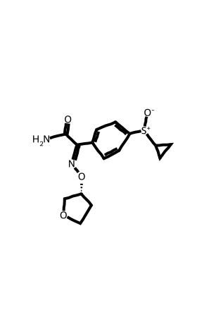 NC(=O)/C(=N/O[C@@H]1CCOC1)c1ccc([S+]([O-])C2CC2)cc1